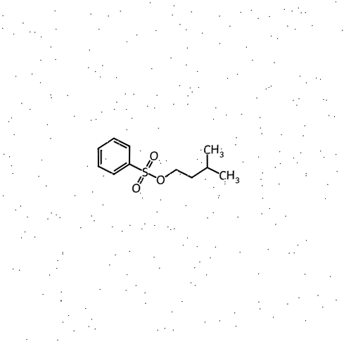 CC(C)CCOS(=O)(=O)c1ccccc1